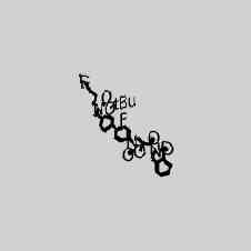 CC(C)(C)OC(=O)N(CCCF)Cc1ccc(-c2ccc(N3CC(C(=O)N4Cc5ccccc5C4=O)OC3=O)cc2F)cc1